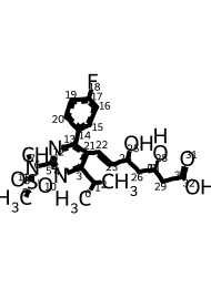 CC(C)c1nc(N(C)S(C)(=O)=O)nc(-c2ccc(F)cc2)c1C=CC(O)C[C@@H](O)CC(=O)O